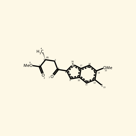 COC(=O)[C@H](C)CC(=O)c1cc2cc(I)c(OC)cc2s1